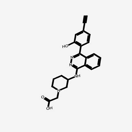 C#Cc1ccc(-c2nnc(NC3CCCN(CC(=O)O)C3)c3ccccc23)c(O)c1